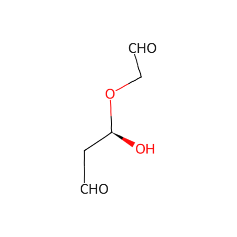 O=CCO[C@@H](O)CC=O